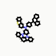 c1ccc2c(c1)cc(-c1ccc(N(c3ccc4sc5ccccc5c4c3)c3ccc4c(c3)n3c5ccccc5c5ccc6c7ccccc7n4c6c53)cc1)c1ccccc12